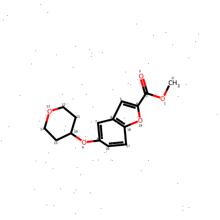 COC(=O)c1cc2cc(OC3CCOCC3)ccc2o1